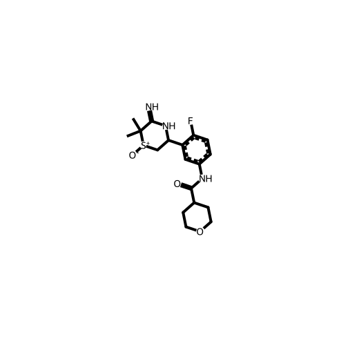 CC1(C)C(=N)NC(c2cc(NC(=O)C3CCOCC3)ccc2F)C[S+]1[O-]